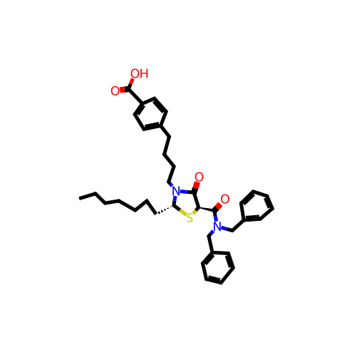 CCCCCCC[C@H]1S[C@H](C(=O)N(Cc2ccccc2)Cc2ccccc2)C(=O)N1CCCCc1ccc(C(=O)O)cc1